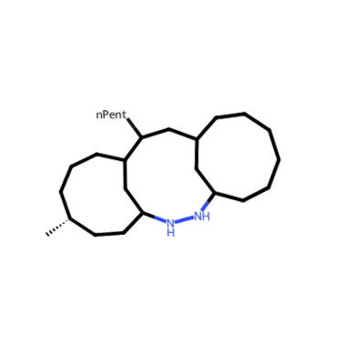 CCCCCC1CC2CCCCCCC(C2)NNC2CC[C@H](C)CCCC1C2